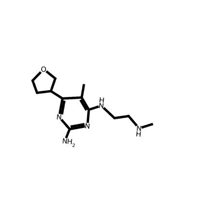 CNCCNc1nc(N)nc(C2CCOC2)c1C